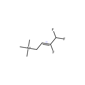 C[N+](C)(C)C/C=C(\F)C(F)F